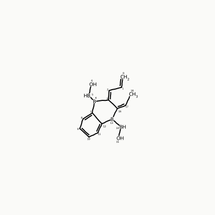 C=C/C=C1/B(BO)c2ccccc2B(BO)/C1=C/C